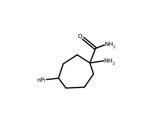 CCCC1CCCC(N)(C(N)=O)CC1